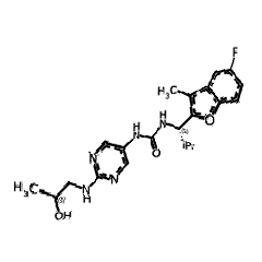 Cc1c([C@@H](NC(=O)Nc2cnc(NC[C@H](C)O)nc2)C(C)C)oc2ccc(F)cc12